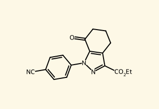 CCOC(=O)c1nn(-c2ccc(C#N)cc2)c2c1CCCC2=O